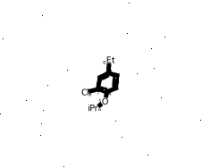 CCc1ccc(OC(C)C)c(Cl)c1